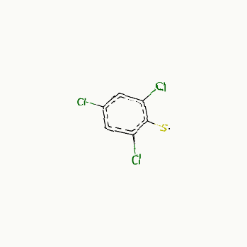 [S]c1c(Cl)cc(Cl)cc1Cl